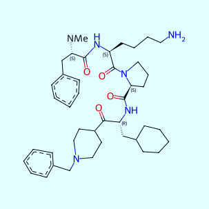 CN[C@@H](Cc1ccccc1)C(=O)N[C@@H](CCCCN)C(=O)N1CCC[C@H]1C(=O)N[C@H](CC1CCCCC1)C(=O)C1CCN(Cc2ccccc2)CC1